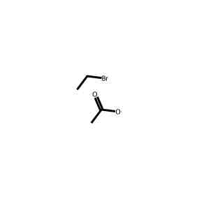 CC([O])=O.CCBr